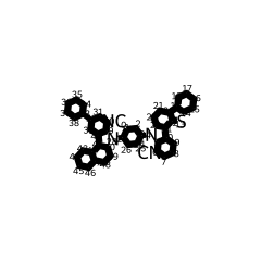 N#Cc1cc(-n2c3ccccc3c3c4sc5ccccc5c4ccc32)c(C#N)cc1-n1c2ccc(-c3ccccc3)cc2c2c3ccccc3ccc21